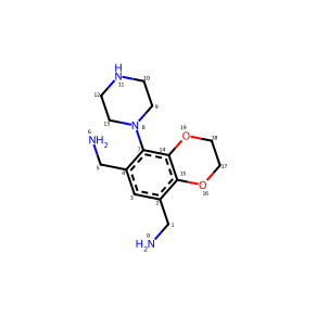 NCc1cc(CN)c(N2CCNCC2)c2c1OCCO2